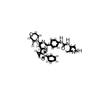 Cc1n[nH]cc1NC(=O)Nc1ccc(-c2nc(N3CCOC[C@@H]3C)cc(C3(S(=O)(=O)c4ccccc4)CC3)n2)cc1